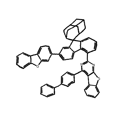 c1ccc(-c2ccc(-c3nc(-c4cccc5c4-c4ccc(-c6ccc7c(c6)oc6ccccc67)cc4C54C5CC6CC(C5)CC4C6)nc4sc5ccccc5c34)cc2)cc1